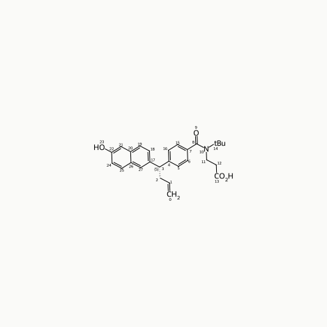 C=CC[C@@H](c1ccc(C(=O)N(CCC(=O)O)C(C)(C)C)cc1)c1ccc2cc(O)ccc2c1